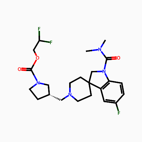 CN(C)C(=O)N1CC2(CCN(C[C@@H]3CCN(C(=O)OCC(F)F)C3)CC2)c2cc(F)ccc21